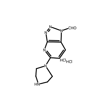 Cl.Cl.O=Cn1nnc2nc(N3CCNCC3)ccc21